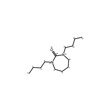 CCCCN1CCCCN(CCCC)C1=O